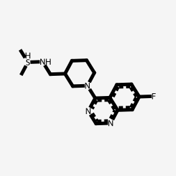 C[SH](C)NCC1CCCN(c2ncnc3cc(F)ccc23)C1